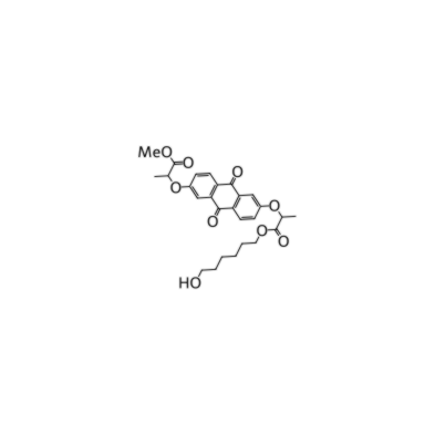 COC(=O)C(C)Oc1ccc2c(c1)C(=O)c1ccc(OC(C)C(=O)OCCCCCCO)cc1C2=O